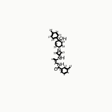 C=C(CNC(=O)c1cccc(C)c1)NC1CN([C@H]2CC[C@@](O)(c3ccc(C)cc3)CC2)C1